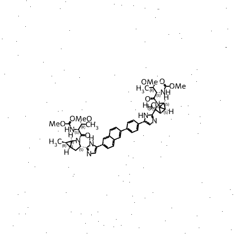 COC(=O)N[C@H](C(=O)N1[C@H](c2ncc(-c3ccc(-c4ccc5cc(-c6cnc([C@@H]7C[C@H]8[C@@H](C)[C@H]8N7C(=O)[C@@H](NC(=O)OC)[C@@H](C)OC)[nH]6)ccc5c4)cc3)[nH]2)C2[C@@H]3[C@H]1[C@]23C)[C@@H](C)OC